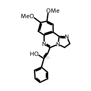 COc1cc2c(cc1OC)C1=NCCN1C(/C=C(\O)c1ccccc1)=N2